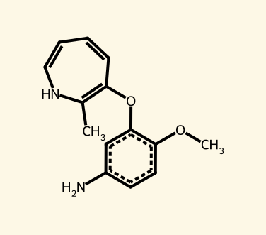 COc1ccc(N)cc1OC1=C(C)NC=CC=C1